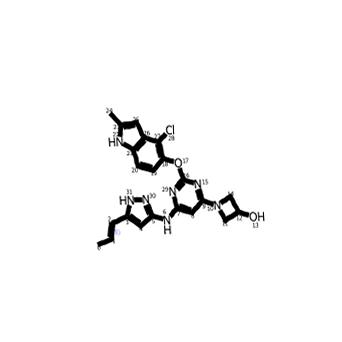 C/C=C/c1cc(Nc2cc(N3CC(O)C3)nc(Oc3ccc4[nH]c(C)cc4c3Cl)n2)n[nH]1